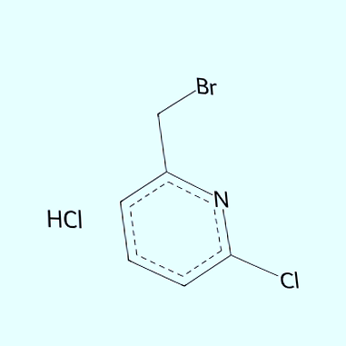 Cl.Clc1cccc(CBr)n1